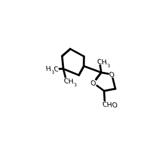 CC1(C)CCCC(C2(C)OCC(C=O)O2)C1